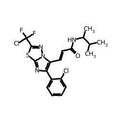 CC(C)C(C)NC(=O)/C=C/c1c(-c2ccccc2Cl)nc2sc(C(F)(F)Cl)nn12